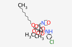 CCCCCCCCCCOC[C@@]12O[C@@H](CN3CCOCC3)[C@@H](OC(=O)Nc3ccc(Cl)cc3)[C@@H]1OC(C)(C)O2